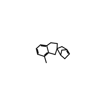 Cc1cccc2c1CC1(CC2)CC2=CCC1C2